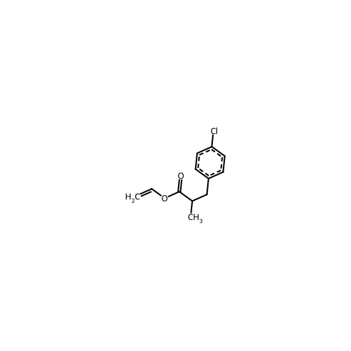 C=COC(=O)C(C)Cc1ccc(Cl)cc1